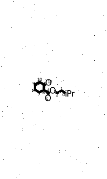 CC(C)CCOC(=O)C1CCC=CC1=O